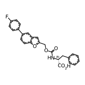 O=C(N[C@H](Cc1ccccc1)C(=O)O)OCc1cc2cc(-c3ccc(F)cc3)ccc2o1